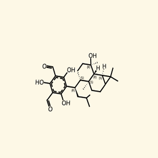 CC(C)C[C@@H](c1c(O)c(C=O)c(O)c(C=O)c1O)[C@@H]1CC[C@@](C)(O)[C@@H]2[C@@H]3C(CC[C@]21C)C3(C)C